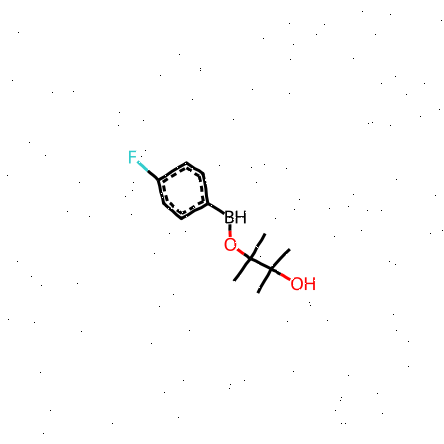 CC(C)(O)C(C)(C)OBc1ccc(F)cc1